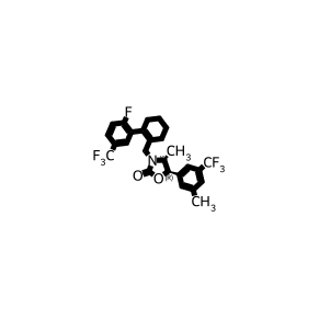 Cc1cc([C@H]2OC(=O)N(CC3=C(c4cc(C(F)(F)F)ccc4F)CCCC3)[C@H]2C)cc(C(F)(F)F)c1